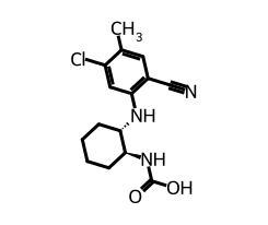 Cc1cc(C#N)c(N[C@H]2CCCC[C@@H]2NC(=O)O)cc1Cl